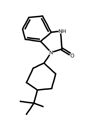 CC(C)(C)C1CCC(n2c(=O)[nH]c3ccccc32)CC1